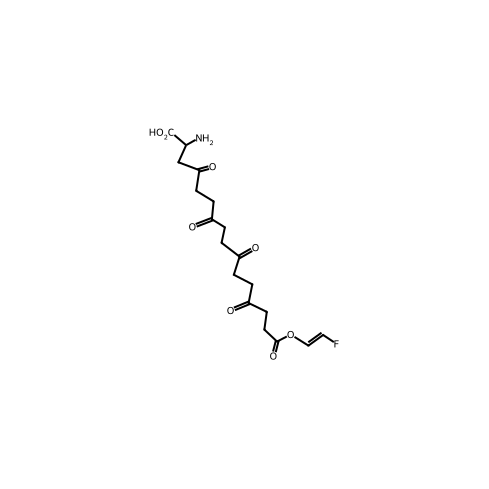 NC(CC(=O)CCC(=O)CCC(=O)CCC(=O)CCC(=O)OC=CF)C(=O)O